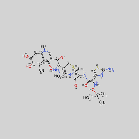 CCn1cc(C(=O)C(N)C2=C(C(=O)O)N3C(=O)C(NC(=O)/C(=N\OC(C)(C)C(=O)O)c4csc(N)n4)[C@H]3SC2)c(=O)c2c(C#N)c(O)c(O)cc21